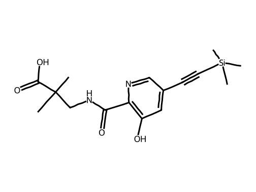 CC(C)(CNC(=O)c1ncc(C#C[Si](C)(C)C)cc1O)C(=O)O